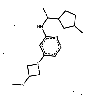 CNC1CN(c2cnnc(NC(C)C3CCC(C)C3)c2)C1